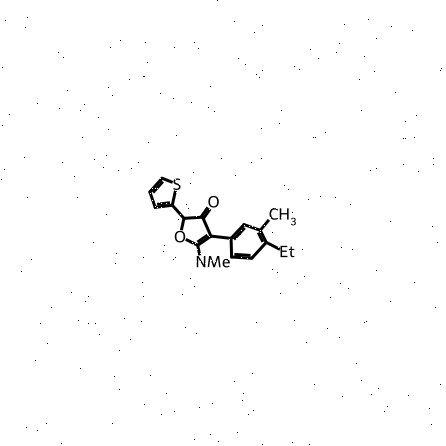 CCc1ccc(C2=C(NC)OC(c3cccs3)C2=O)cc1C